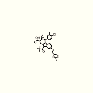 CCCC(Cc1c(C(=O)C(C)(C)C)c2cc(OCc3csc(C)n3)ccn2c1C(=O)c1ccc(Cl)c(C)c1)C(=O)O